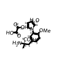 COc1ccc(C[C@@](C)(N)C(=O)O)cc1-n1cccc1.O.O=C(O)C(=O)O